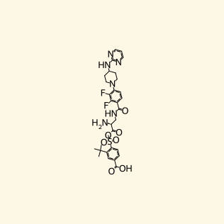 CC(C)(C)c1cc(C(=O)O)ccc1S(=O)(=O)OC(=O)[C@@H](N)CNC(=O)c1ccc(N2CCC(Nc3ncccn3)CC2)c(F)c1F